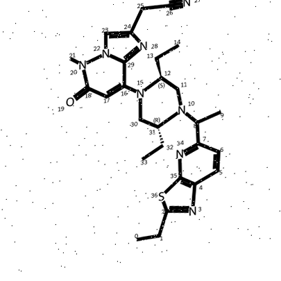 CCc1nc2ccc(C(C)N3C[C@H](CC)N(c4cc(=O)n(C)n5cc(CC#N)nc45)C[C@H]3CC)nc2s1